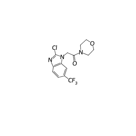 O=C(Cn1c(Cl)nc2ccc(C(F)(F)F)cc21)N1CCOCC1